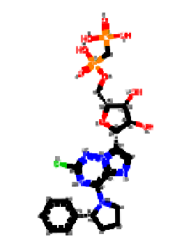 O=P(O)(O)CP(=O)(O)OC[C@H]1O[C@@H](c2cnc3c(N4CCC[C@@H]4c4ccccc4)nc(Cl)nn23)[C@H](O)[C@@H]1O